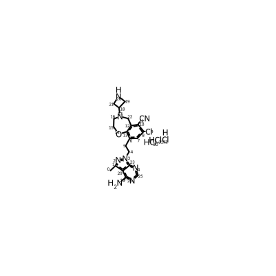 Cc1nn(CCc2cc(Cl)c(C#N)c3c2OCCN(C2CNC2)C3)c2ncnc(N)c12.Cl.Cl.Cl